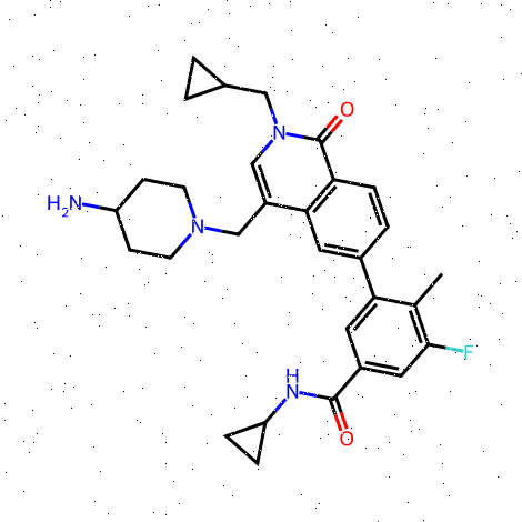 Cc1c(F)cc(C(=O)NC2CC2)cc1-c1ccc2c(=O)n(CC3CC3)cc(CN3CCC(N)CC3)c2c1